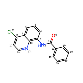 O=C(Nc1cccc2c(Cl)ccnc12)c1ccccc1